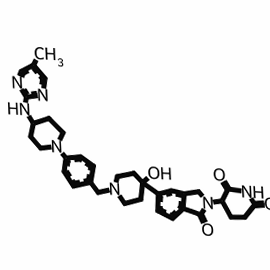 Cc1cnc(NC2CCN(c3ccc(CN4CCC(O)(c5ccc6c(c5)CN(C5CCC(=O)NC5=O)C6=O)CC4)cc3)CC2)nc1